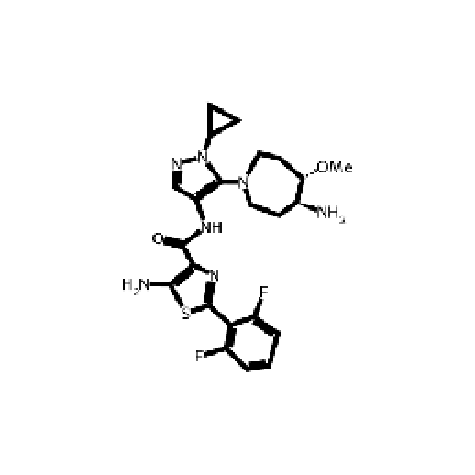 CO[C@H]1CCN(c2c(NC(=O)c3nc(-c4c(F)cccc4F)sc3N)cnn2C2CC2)CC[C@@H]1N